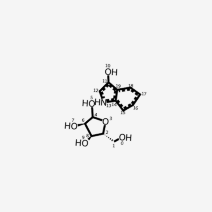 OC[C@H]1OC(O)[C@H](O)[C@@H]1O.Oc1c[nH]c2ccccc12